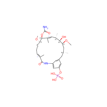 CO[C@H]1C[C@H](C)Cc2cc(cc(OP(=O)(O)O)c2)NC(=O)/C(C)=C/CC[C@H](OC)[C@@H](OC(N)=O)/C(C)=C/[C@H](C)[C@H]1O